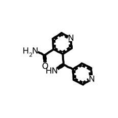 N=C(c1ccncc1)c1cnccc1C(N)=O